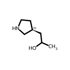 CC(O)C[C@@H]1CCNC1